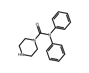 O=C(N1CCNCC1)N(c1ccccc1)c1ccccc1